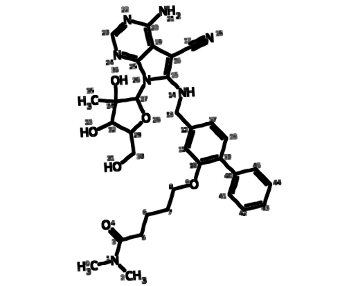 CN(C)C(=O)CCCCOc1cc(CNc2c(C#N)c3c(N)ncnc3n2C2OC(CO)C(O)C2(C)O)ccc1-c1ccccc1